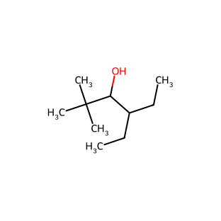 CCC(CC)C(O)C(C)(C)C